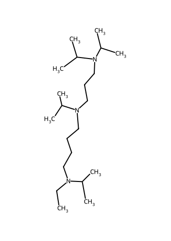 CCN(CCCCN(CCCN(C(C)C)C(C)C)C(C)C)C(C)C